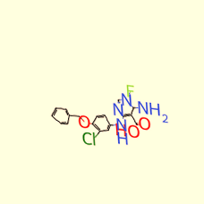 NC1C(C(=O)O)=C(Nc2ccc(OCc3ccccc3)c(Cl)c2)N=CN1F